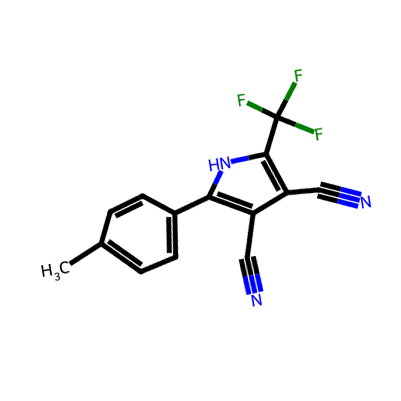 Cc1ccc(-c2[nH]c(C(F)(F)F)c(C#N)c2C#N)cc1